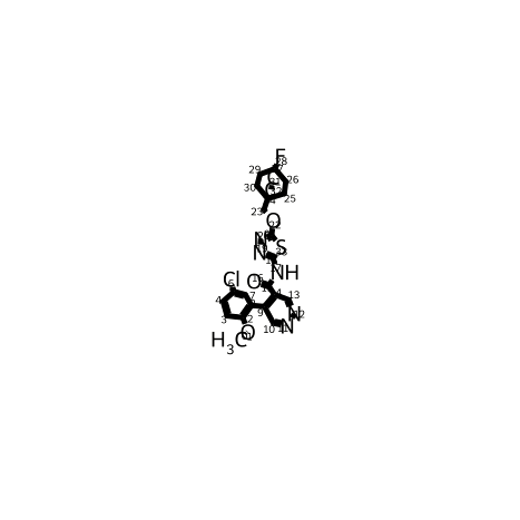 COc1ccc(Cl)cc1-c1cnncc1C(=O)Nc1nnc(OCC23CCC(F)(CC2)CC3)s1